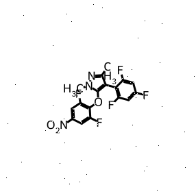 Cc1nn(C)c(Oc2c(F)cc([N+](=O)[O-])cc2F)c1-c1c(F)cc(F)cc1F